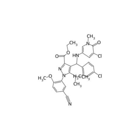 CCOC(=O)c1nn(-c2cc(C#N)ccc2OC)c(C(C)C)c1C(Nc1cc(Cl)c(=O)n(C)c1)c1ccc(Cl)cc1C